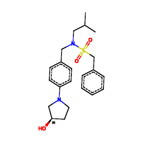 CC(C)CN(Cc1ccc(N2CC[C@@H](O)C2)cc1)S(=O)(=O)Cc1ccccc1